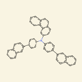 c1ccc2cc(-c3ccc(N(c4ccc(-c5ccc6ccccc6c5)cc4)c4ccc5ccc6ccccc6c5c4)cc3)ccc2c1